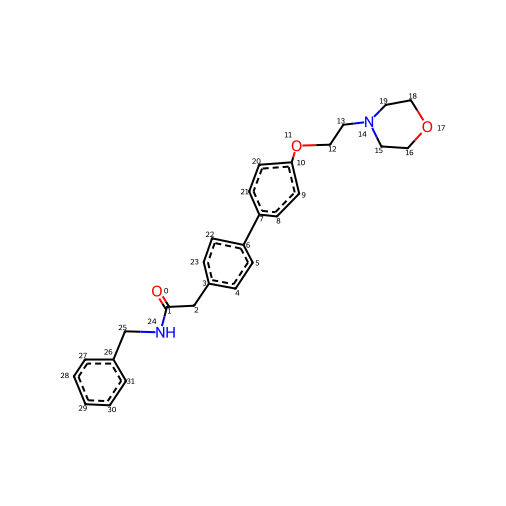 O=C(Cc1ccc(-c2ccc(OCCN3CCOCC3)cc2)cc1)NCc1ccccc1